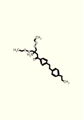 CCCc1ccc(CCc2ccc(C(=O)CC(N)(COOCC)COOCC)cc2)cc1